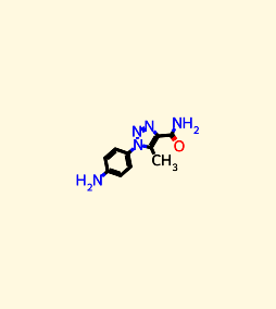 Cc1c(C(N)=O)nnn1-c1ccc(N)cc1